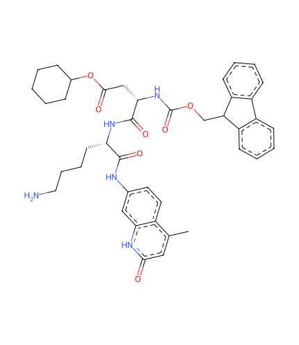 Cc1cc(=O)[nH]c2cc(NC(=O)[C@H](CCCCN)NC(=O)[C@H](CC(=O)OC3CCCCC3)NC(=O)OCC3c4ccccc4-c4ccccc43)ccc12